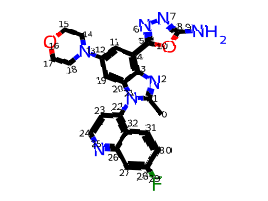 Cc1nc2c(-c3nnc(N)o3)cc(N3CCOCC3)cc2n1-c1ccnc2cc(F)ccc12